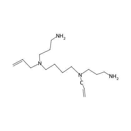 C=CCN(CCCN)CCCCN(CC=C)CCCN